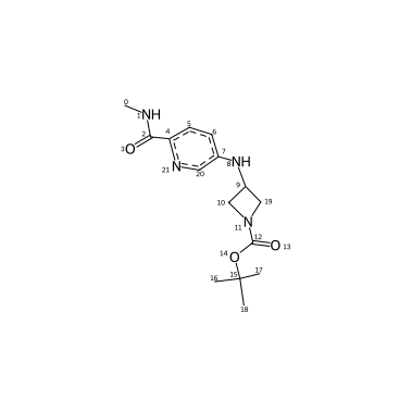 CNC(=O)c1ccc(NC2CN(C(=O)OC(C)(C)C)C2)cn1